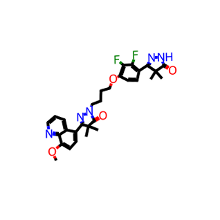 COc1ccc(C2=NN(CCCCOc3ccc(C4=NNC(=O)C4(C)C)c(F)c3F)C(=O)C2(C)C)c2cccnc12